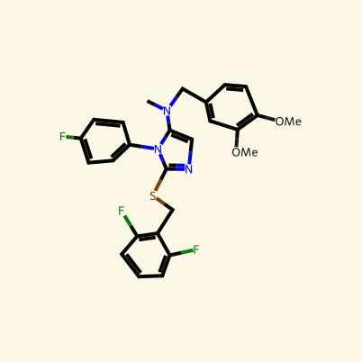 COc1ccc(CN(C)c2cnc(SCc3c(F)cccc3F)n2-c2ccc(F)cc2)cc1OC